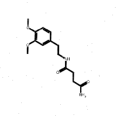 COc1ccc(CCNC(=O)CCC(N)=O)cc1OC